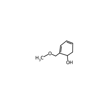 COCC1=CC=CCC1O